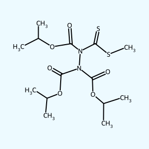 CSC(=S)N(C(=O)OC(C)C)N(C(=O)OC(C)C)C(=O)OC(C)C